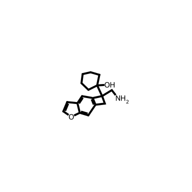 NCC1(C2(O)CCCCC2)Cc2cc3occc3cc21